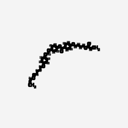 C=C=COOCCCCOc1ccc(OCOc2ccc(OC(=O)c3ccc(OCCCCOC(=O)C=C)cc3)cc2)cc1